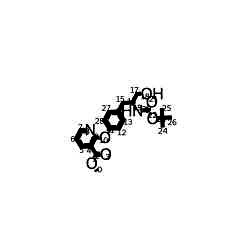 COC(=O)c1cccnc1Oc1ccc(CC(CO)NC(=O)OC(C)(C)C)cc1